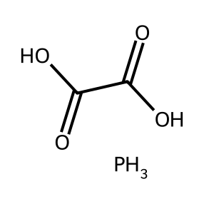 O=C(O)C(=O)O.P